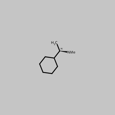 CN[C@H](C)C1CCCCC1